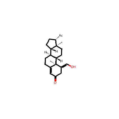 CC(=O)[C@H]1CC[C@H]2[C@@H]3CCC4=CC(=O)CC(=CO)[C@]4(C)[C@H]3CC[C@]12C